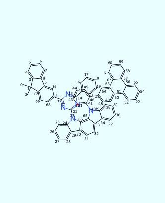 CC1(C)c2ccccc2-c2cc(-c3nc(-c4ccccc4)nc(-n4c5ccccc5c5ccc6c7ccccc7n(-c7ccccc7-c7ccc8c9ccccc9c9ccccc9c8c7)c6c54)n3)ccc21